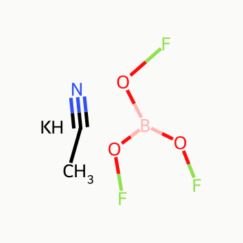 CC#N.FOB(OF)OF.[KH]